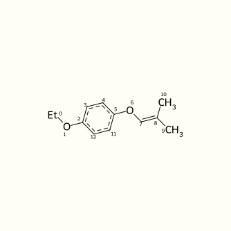 CCOc1ccc(OC=C(C)C)cc1